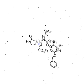 CCOC(=O)/C=C/[C@H](C[C@@H]1CCNC1=O)NC(=O)[C@H](CCSC)NC(=O)[C@@H](NC(=O)OCc1ccccc1)C(C)C